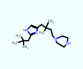 CC(C)(C)Cc1nc(CC(C)(C)CCN2CCNCC2)c[nH]1